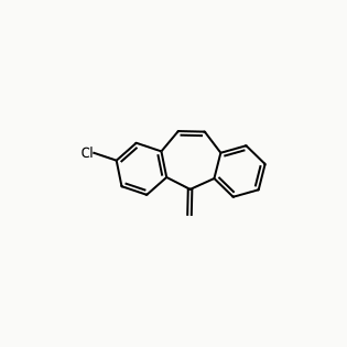 C=C1c2ccccc2C=Cc2cc(Cl)ccc21